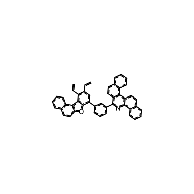 C=Cc1cc(-c2cccc(-c3nc4c5ccccc5ccc4c4c3ccc3ccccc34)c2)c2oc3ccc4ccccc4c3c2c1C=C